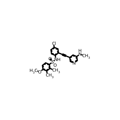 CNc1cncc(C#Cc2cc(Cl)ccc2NS(=O)(=O)c2ccc(OC)c(C)c2C)c1